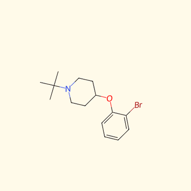 CC(C)(C)N1CCC(Oc2ccccc2Br)CC1